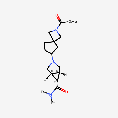 CCN(CC)C(=O)[C@@H]1[C@@H]2CN(C3CCC4(C3)CN(C(=O)OC)C4)C[C@@H]21